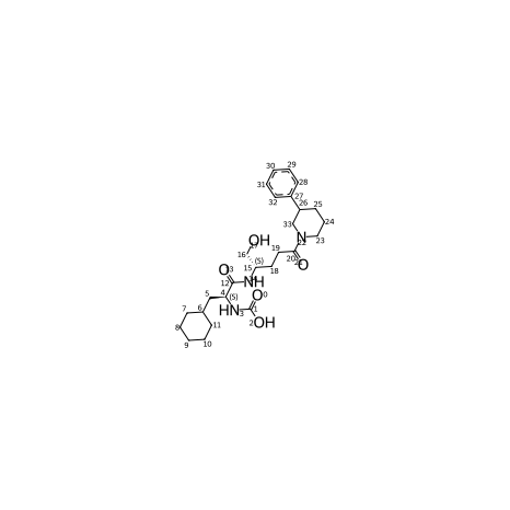 O=C(O)N[C@@H](CC1CCCCC1)C(=O)N[C@H](CO)CCC(=O)N1CCCC(c2ccccc2)C1